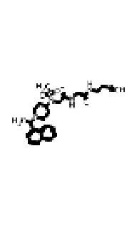 C#CCCNC(=O)CNC(=O)CN(C1CCN(C(C)c2cccc3ccccc23)CC1)S(C)(=O)=O